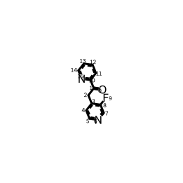 O=C(Cc1ccncc1F)c1ccccn1